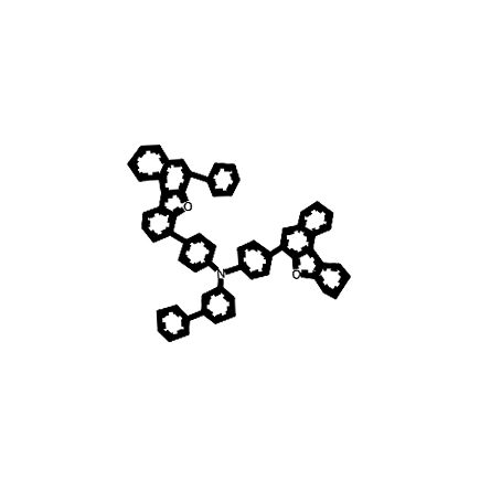 c1ccc(-c2cccc(N(c3ccc(-c4cccc5c4oc4c(-c6ccccc6)cc6ccccc6c45)cc3)c3ccc(-c4cc5ccccc5c5c4oc4ccccc45)cc3)c2)cc1